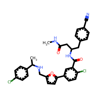 CNC(=O)CC(Cc1ccc(C#N)cc1)NC(=O)c1cc(-c2ccc(CNC(C)c3ccc(Cl)cc3)o2)ccc1Cl